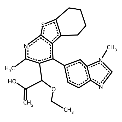 C=C(O)C(OCC)c1c(C)nc2sc3c(c2c1-c1ccc2ncn(C)c2c1)CCCC3